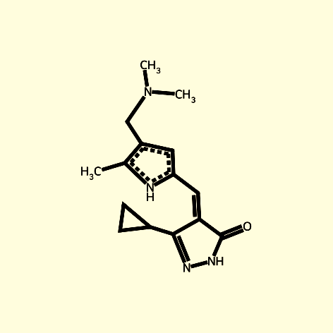 Cc1[nH]c(/C=C2/C(=O)NN=C2C2CC2)cc1CN(C)C